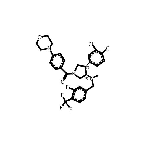 CN(Cc1ccc(C(F)(F)F)c(F)c1)[C@H]1CN(C(=O)c2ccc(N3CCOCC3)cc2)C[C@@H]1c1ccc(Cl)c(Cl)c1